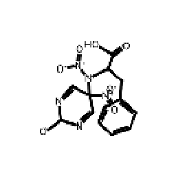 O=C(O)C(Cc1ccccc1)N([N+](=O)[O-])C1([N+](=O)[O-])C=NC(Cl)N=C1